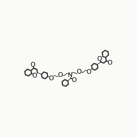 O=C(c1ccccc1)N(CCOCCOc1ccc(-c2cc(=O)c3ccccc3o2)cc1)CCOCCOc1ccc(-c2cc(=O)c3ccccc3o2)cc1